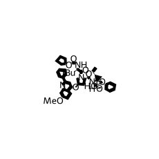 C=C[C@@H]1C[C@]1(NC(=O)[C@@H]1C[C@@H](Oc2cc(-c3ccccc3)nc3cc(OC)ccc23)CN1C(=O)[C@@H](NC(=O)OC1CCCC1)C(C)(C)C)P(=O)(O)Oc1ccccc1